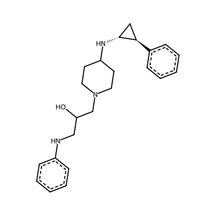 OC(CNc1ccccc1)CN1CCC(N[C@@H]2C[C@H]2c2ccccc2)CC1